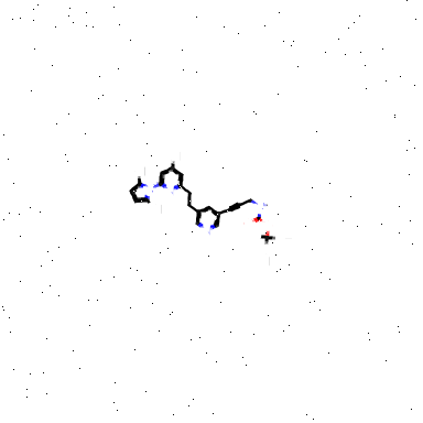 Cc1cc(CCc2cncc(C#CCN(C)C(=O)OC(C)(C)C)c2)nc(-n2c(C)ccc2C)c1